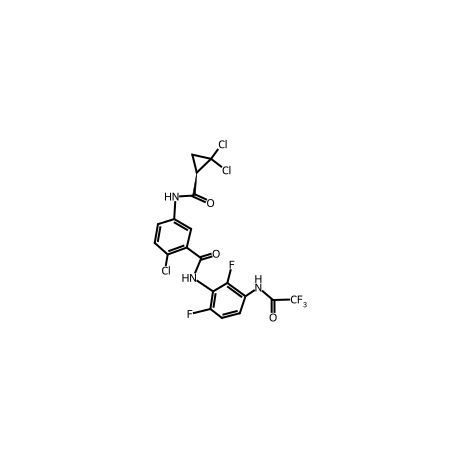 O=C(Nc1c(F)ccc(NC(=O)C(F)(F)F)c1F)c1cc(NC(=O)[C@H]2CC2(Cl)Cl)ccc1Cl